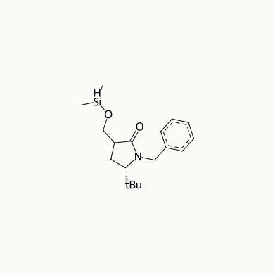 C[SiH](C)OCC1C[C@@H](C(C)(C)C)N(Cc2ccccc2)C1=O